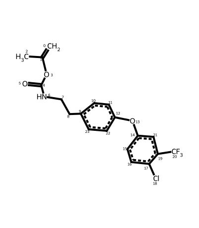 C=C(C)OC(=O)NCCc1ccc(Oc2ccc(Cl)c(C(F)(F)F)c2)cc1